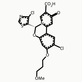 COCCCOc1cc2c(cc1Cl)-c1cc(=O)c(C(=O)O)cn1[C@@H](c1scnc1Cl)O2